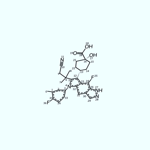 Cc1cc(-n2c(C(C)(C)CC#N)c([C@H]3CC[C@](O)(C(=O)O)CC3)c3c(F)c4[nH]ncc4cc32)ccc1F